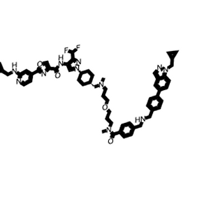 CN(CCCOCCCN(C)C(=O)c1ccc(CNCc2ccc(-c3ccc4c(cnn4CC4CC4)c3)cc2)cc1)C[C@H]1CC[C@H](n2cc(NC(=O)c3coc(-c4ccnc(NCC5CC5)c4)n3)c(C(F)F)n2)CC1